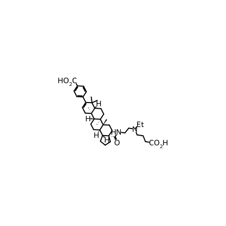 CCN(CCCC(=O)O)CCNC(=O)[C@]12CCC[C@@H]1[C@H]1CC[C@@H]3[C@@]4(C)CC=C(c5ccc(C(=O)O)cc5)C(C)(C)[C@@H]4CC[C@@]3(C)[C@]1(C)CC2